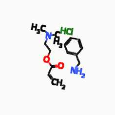 C=CC(=O)OCCN(C)C.Cl.NCc1ccccc1